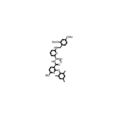 COc1ccc(CNc2cccc(N(NC(=O)c3ccc(C(C)(C)C)nc3Oc3c(C)cc(C)cc3C)[SH]=O)n2)c(OC)c1